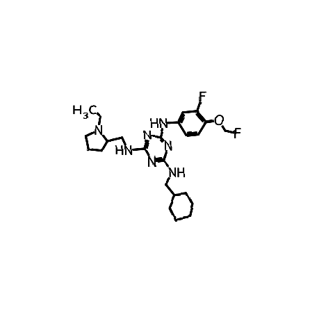 CCN1CCCC1CNc1nc(NCC2CCCCC2)nc(Nc2ccc(OCF)c(F)c2)n1